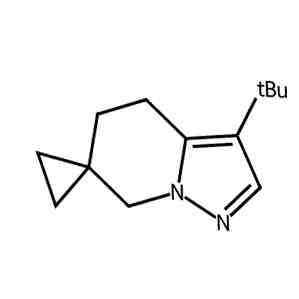 CC(C)(C)c1cnn2c1CCC1(CC1)C2